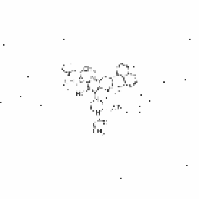 C=CC(=O)N1CCN(c2c(C#N)c(O[C@H](C)[C@H]3CCCN3C)nc3c2CCN(c2cccc4cccc(C)c24)C3)C[C@@H]1CC#N